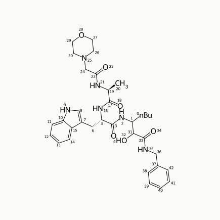 CCCCC(NC(=O)[C@H](Cc1c[nH]c2ccccc12)NC(=O)[C@H](C)NC(=O)CN1CCOCC1)C(O)C(=O)NCc1ccccc1